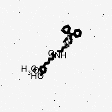 COc1cc(C=CC=CC(=O)NCCCCN2CCN(C(c3ccccc3)c3ccccc3)CC2)ccc1O